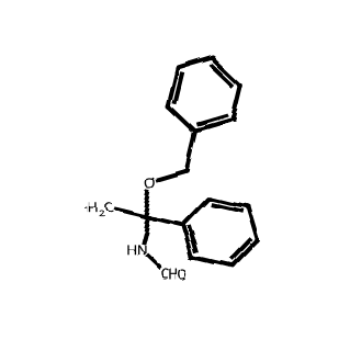 [CH2]C(NC=O)(OCc1ccccc1)c1ccccc1